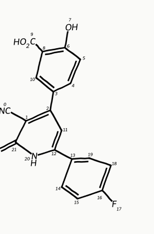 N#Cc1c(-c2ccc(O)c(C(=O)O)c2)cc(-c2ccc(F)cc2)[nH]c1=N